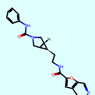 O=C(NCC[C@H]1C2CN(C(=O)Nc3ccccc3)C[C@@H]21)c1cc2ccncc2o1